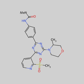 CNC(=O)Nc1ccc(-c2nc(-c3cccnc3S(C)(=O)=O)nc(N3CCOCC3C)n2)cc1